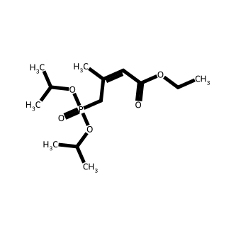 CCOC(=O)C=C(C)CP(=O)(OC(C)C)OC(C)C